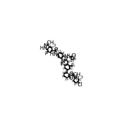 Cc1n[nH]c2c(F)cc(C(=O)Nc3ccc4c(c3)nc(Cc3c(F)cc(-c5cccc6c5O[C@@](C)(c5ccc(Cl)cn5)O6)cc3F)n4C[C@@H]3CCO3)cc12